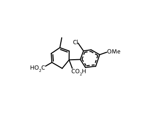 COc1ccc(C2(C(=O)O)C=C(C)C=C(C(=O)O)C2)c(Cl)c1